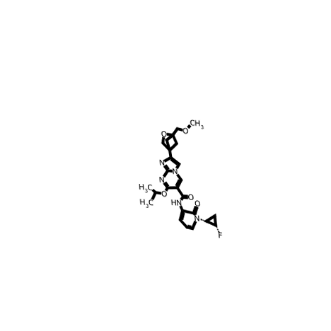 COCC12CC(c3cn4cc(C(=O)Nc5cccn([C@@H]6C[C@@H]6F)c5=O)c(OC(C)C)nc4n3)(CO1)C2